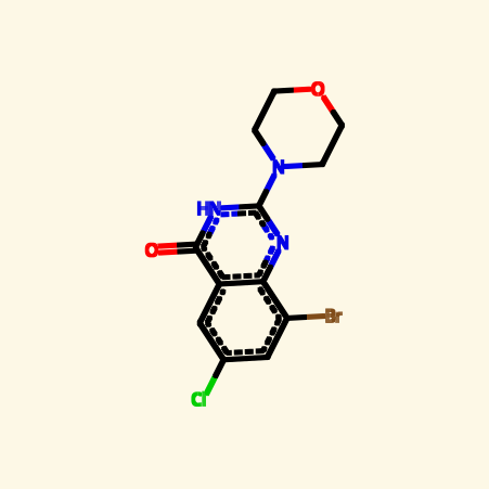 O=c1[nH]c(N2CCOCC2)nc2c(Br)cc(Cl)cc12